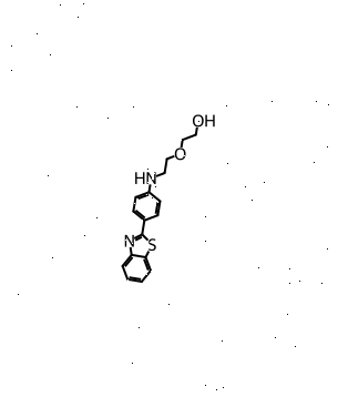 OCCOCCNc1ccc(-c2nc3ccccc3s2)cc1